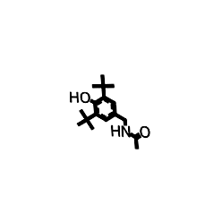 CC(=O)NCc1cc(C(C)(C)C)c(O)c(C(C)(C)C)c1